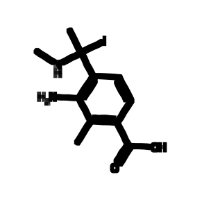 CNC(C)(I)c1ccc(C(=O)O)c(C)c1N